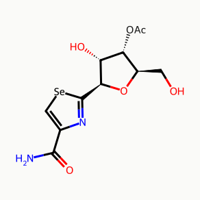 CC(=O)O[C@H]1[C@@H](O)[C@H](c2nc(C(N)=O)c[se]2)O[C@@H]1CO